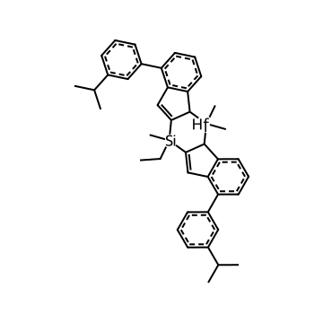 CC[Si]1(C)C2=Cc3c(-c4cccc(C(C)C)c4)cccc3[CH]2[Hf]([CH3])([CH3])[CH]2C1=Cc1c(-c3cccc(C(C)C)c3)cccc12